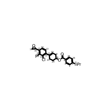 CCCc1ccc(C(=O)OC2CC=C(c3ccc(C4CO4)c(F)c3Cl)CC2)cc1